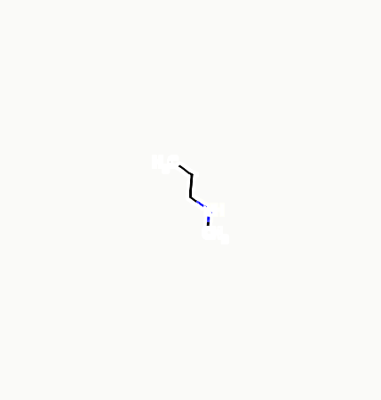 C[CH]CNC